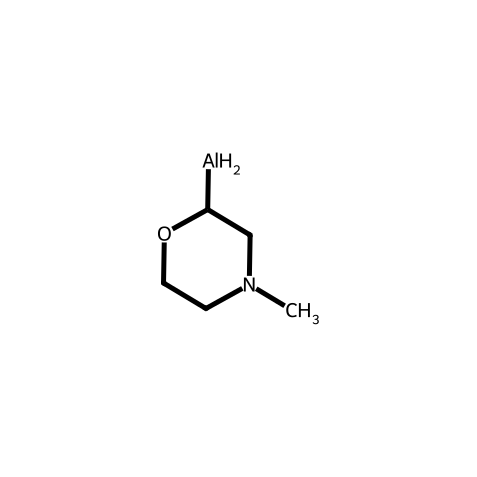 CN1CCO[CH]([AlH2])C1